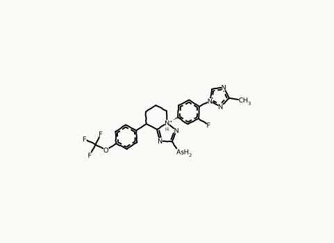 Cc1ncn(-c2ccc([N@@+]34CCCC(c5ccc(OC(F)(F)F)cc5)C3=NC([AsH2])=N4)cc2F)n1